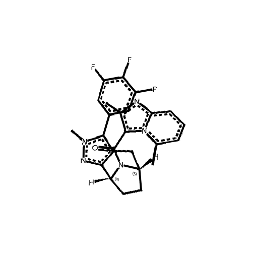 Cc1nc2cccc(C)n2c1C(=O)N1[C@H]2CC[C@@H]1c1nn(C)c(-c3cc(F)c(F)c(F)c3)c1C2